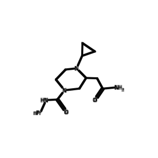 CCCNC(=O)N1CCN(C2CC2)C(CC(N)=O)C1